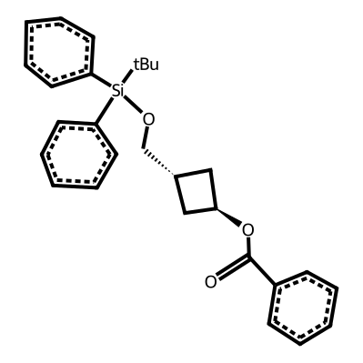 CC(C)(C)[Si](OC[C@H]1C[C@H](OC(=O)c2ccccc2)C1)(c1ccccc1)c1ccccc1